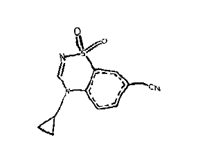 N#Cc1ccc2c(c1)S(=O)(=O)N=CN2C1CC1